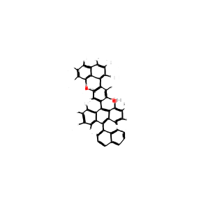 Bc1c(B)c(-c2c3c(B)c(B)c(B)c(B)c3c(-c3cccc4ccccc34)c3c(B)c(B)c(B)c(B)c23)c(B)c(B)c1-c1c(B)c(B)c(B)c2c(B)c(B)c(B)c(B)c12